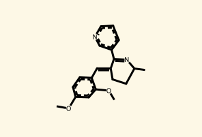 COc1ccc(C=C2CCC(C)N=C2c2cccnc2)c(OC)c1